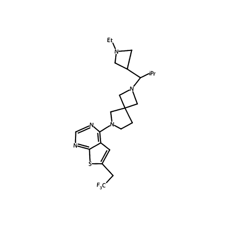 CCN1CC(C(C(C)C)N2CC3(CCN(c4ncnc5sc(CC(F)(F)F)cc45)C3)C2)C1